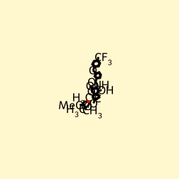 COC1CCC(Oc2ccc3c(O)c(NC(=O)c4cccc(Oc5ccc(C(F)(F)F)cc5)c4)c(=O)oc3c2C)OC1(C)C